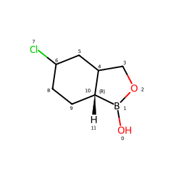 OB1OCC2CC(Cl)CC[C@@H]12